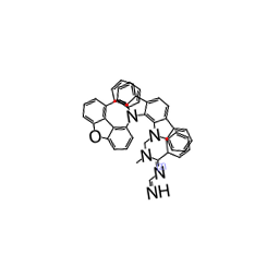 CN(Cn1c2ccccc2c2ccc3c4ccccc4n(-c4cccc5oc6cccc(-c7ccccc7)c6c45)c3c21)/C(=N\C=N)C1C=CC=CC1